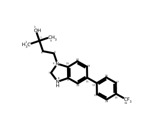 CC(C)(O)CCN1CNc2cc(-c3ccc(C(F)(F)F)cc3)ccc21